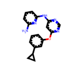 Nc1cccc(Nc2cc(Oc3cccc(C4CC4)c3)ncn2)n1